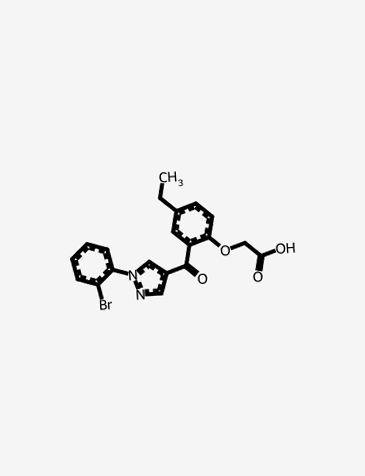 CCc1ccc(OCC(=O)O)c(C(=O)c2cnn(-c3ccccc3Br)c2)c1